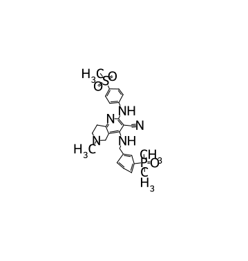 CN1CCc2nc(Nc3ccc(S(C)(=O)=O)cc3)c(C#N)c(NCc3cccc(P(C)(C)=O)c3)c2C1